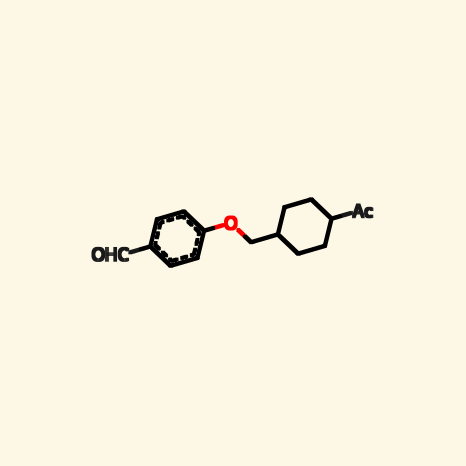 CC(=O)C1CCC(COc2ccc(C=O)cc2)CC1